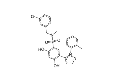 Cc1ccccc1-n1nccc1-c1cc(S(=O)(=O)N(C)Cc2cccc(Cl)c2)c(O)cc1O